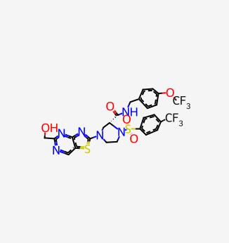 O=C(NCc1ccc(OC(F)(F)F)cc1)[C@H]1CN(c2nc3nc(CO)ncc3s2)CCN1S(=O)(=O)c1ccc(C(F)(F)F)cc1